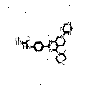 CCNC(=O)Nc1ccc(-c2nc3c(c(N4CCOC[C@@H]4C)n2)CCN(c2ncncn2)C3)cc1